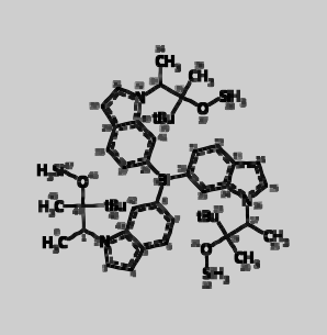 CC(n1ccc2cc[c]([Bi]([c]3ccc4ccn(C(C)C(C)(O[SiH3])C(C)(C)C)c4c3)[c]3ccc4ccn(C(C)C(C)(O[SiH3])C(C)(C)C)c4c3)cc21)C(C)(O[SiH3])C(C)(C)C